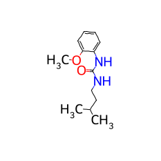 COc1ccccc1NC(=O)NCCC(C)C